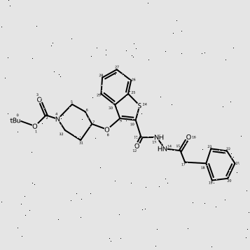 CC(C)(C)OC(=O)N1CCC(Oc2c(C(=O)NNC(=O)Cc3ccccc3)sc3ccccc23)CC1